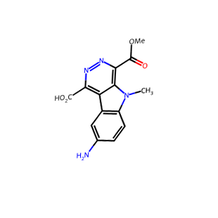 COC(=O)c1nnc(C(=O)O)c2c3cc(N)ccc3n(C)c12